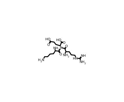 N=C(N)NCCCC(N)C(=O)N(C(=O)C(N)CCCCN)C(CCC(=O)O)C(=O)O